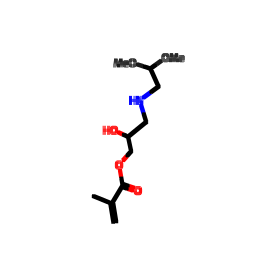 C=C(C)C(=O)OCC(O)CNCC(OC)OC